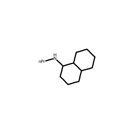 CCCNC1CCCC2CCCCC21